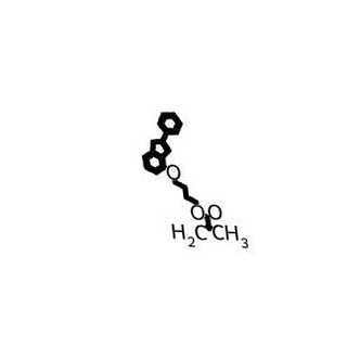 C=C(C)C(=O)OCCCCOc1cccc2c1C=C(c1ccccc1)C2